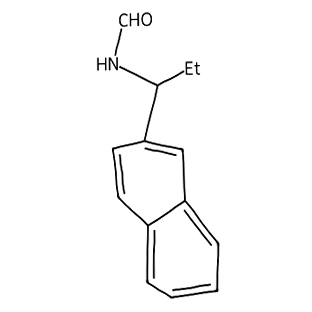 CCC(NC=O)c1ccc2ccccc2c1